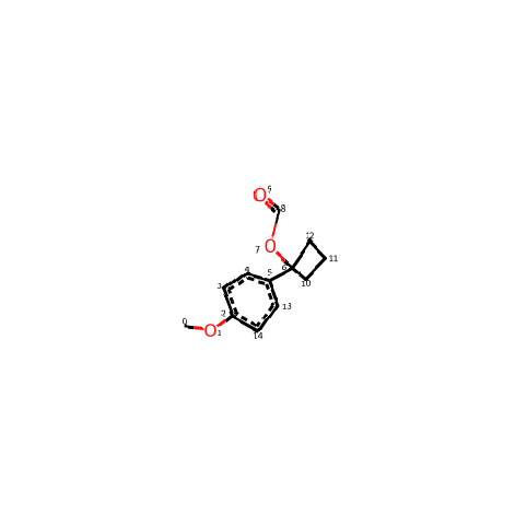 COc1ccc(C2(OC=O)CCC2)cc1